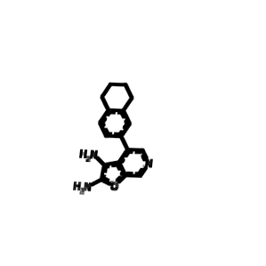 Nc1oc2cncc(-c3ccc4c(c3)CCCC4)c2c1N